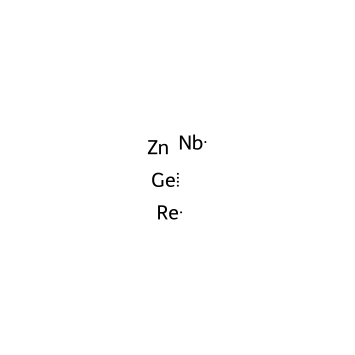 [Ge].[Nb].[Re].[Zn]